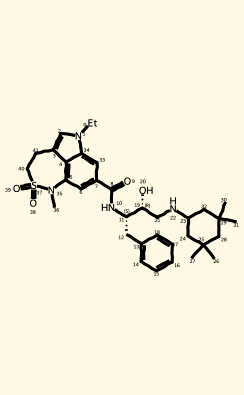 CCn1cc2c3c(cc(C(=O)N[C@@H](Cc4ccccc4)[C@H](O)CNC4CC(C)(C)CC(C)(C)C4)cc31)N(C)S(=O)(=O)CC2